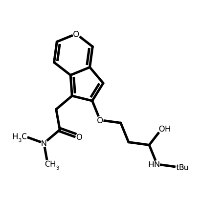 CN(C)C(=O)Cc1c(OCCC(O)NC(C)(C)C)cc2coccc1-2